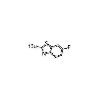 CC(C)(C)c1nc2ccc(F)cc2s1